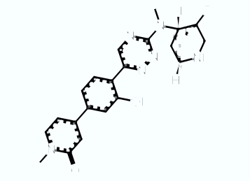 CN(c1ncc(-c2ccc(-c3ccn(C)c(=O)c3)cc2O)nn1)[C@H]1C[C@@H]2COCC1(F)CN2